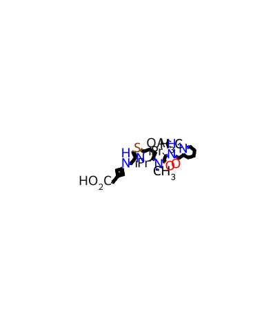 CC(=O)O[C@H](C[C@H](C(C)C)N(C)C(=O)[C@@H](NC(=O)C1CCCCN1C)C(C)C)c1nc(CNC23CC(CC(=O)O)(C2)C3)cs1